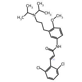 COc1ccc(NC(=O)/C=C/c2c(Cl)cccc2Cl)cc1CCCN(C(C)C)C(C)C